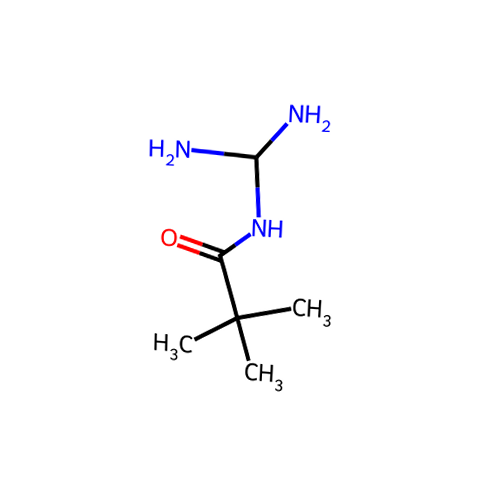 CC(C)(C)C(=O)NC(N)N